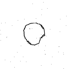 [C]1=C/C=C\CCCCC/C=C\CC/1